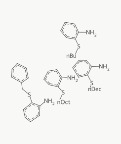 CCCCCCCCCCSc1ccccc1N.CCCCCCCCSc1ccccc1N.CCCCSc1ccccc1N.Nc1ccccc1SCc1ccccc1